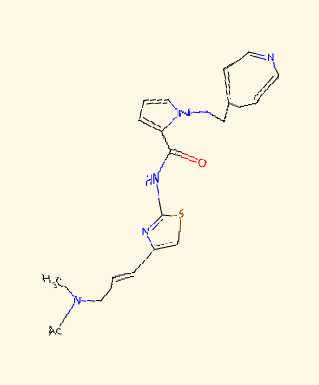 CC(=O)N(C)CC=Cc1csc(NC(=O)c2cccn2Cc2ccncc2)n1